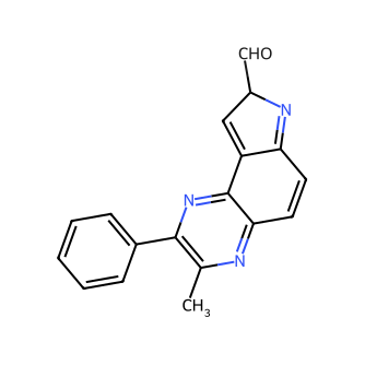 Cc1nc2ccc3c(c2nc1-c1ccccc1)=CC(C=O)N=3